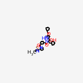 Cc1csc([C@@H]2CCCN2C(=O)c2cccc(C(=O)NC(Cc3ccccc3)[C@H](O)C3C[C@@H](OCc4ccccc4)CN3)c2)n1